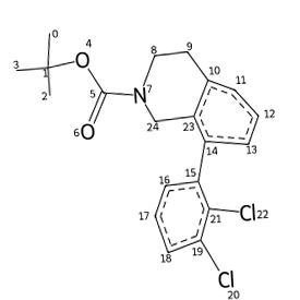 CC(C)(C)OC(=O)N1CCc2cccc(-c3cccc(Cl)c3Cl)c2C1